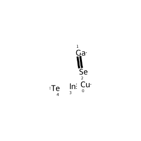 [Cu].[Ga]=[Se].[In].[Te]